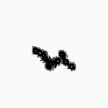 c1ccc(-c2ccc(N(c3ccccc3)c3ccc(-c4nc(-c5ccc6c(c5)sc5cc7ccccc7cc56)c5ccccc5n4)cc3)cc2)cc1